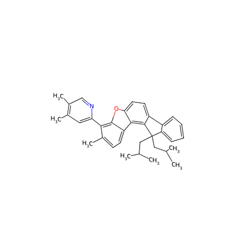 Cc1cnc(-c2c(C)ccc3c2oc2ccc4c(c23)C(CC(C)C)(CC(C)C)c2ccccc2-4)cc1C